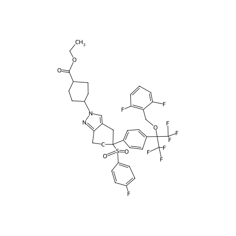 CCOC(=O)C1CCC(n2cc3c(n2)CCC(c2ccc(C(OCc4c(F)cccc4F)(C(F)(F)F)C(F)(F)F)cc2)(S(=O)(=O)c2ccc(F)cc2)C3)CC1